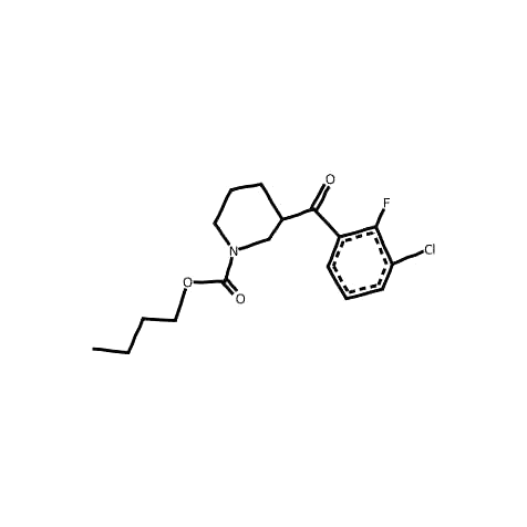 CCCCOC(=O)N1CCCC(C(=O)c2cccc(Cl)c2F)C1